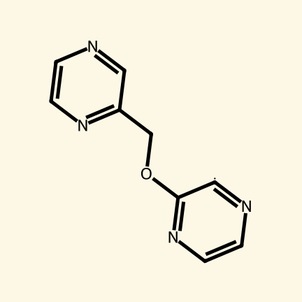 [c]1nccnc1OCc1cnccn1